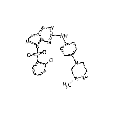 C[C@@H]1CN(c2ccc(Nc3ncc4cnn(S(=O)(=O)c5ccccc5Cl)c4n3)cc2)CCN1